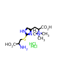 C[N+](C)(C)C(Cc1c[nH]c(SCC(N)C(=O)O)n1)C(=O)O.Cl.Cl